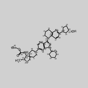 C[C@@H]1OCC2(CCN(c3cnc4c(N5CCCc6nc(N7CC[C@H](O)C7)ccc65)nn(C5CCCCO5)c4n3)CC2)[C@@H]1NC(=O)OC(C)(C)C